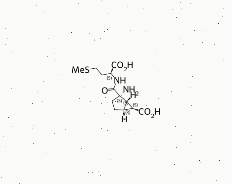 CSCC[C@H](NC(=O)[C@]1(N)CC[C@H]2[C@H](C(=O)O)[C@H]21)C(=O)O